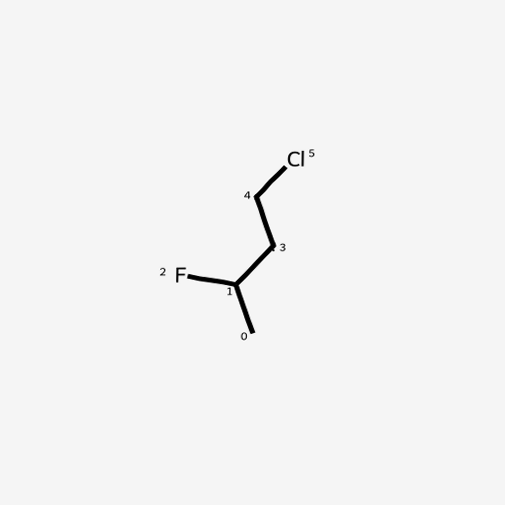 CC(F)[CH]CCl